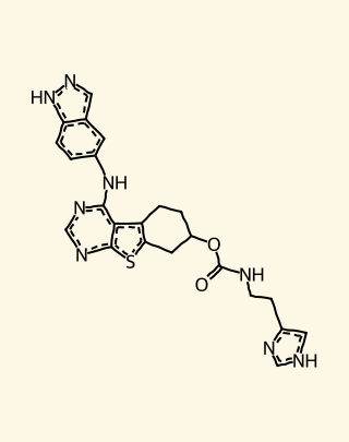 O=C(NCCc1c[nH]cn1)OC1CCc2c(sc3ncnc(Nc4ccc5[nH]ncc5c4)c23)C1